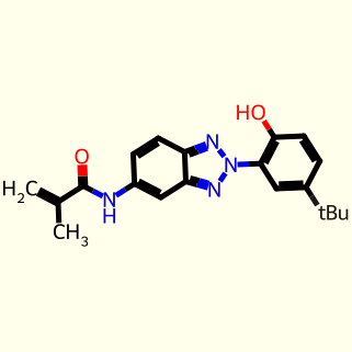 C=C(C)C(=O)Nc1ccc2nn(-c3cc(C(C)(C)C)ccc3O)nc2c1